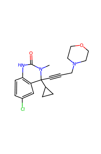 CN1C(=O)Nc2ccc(Cl)cc2C1(C#CCN1CCOCC1)C1CC1